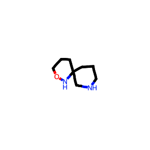 C1CNCC2(C1)CCCON2